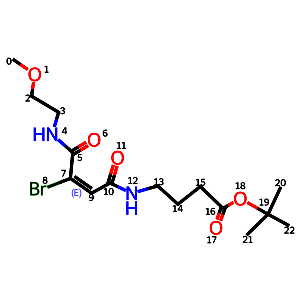 COCCNC(=O)/C(Br)=C\C(=O)NCCCC(=O)OC(C)(C)C